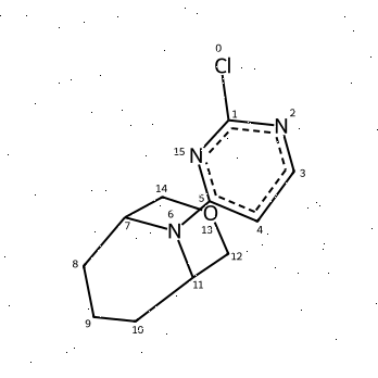 Clc1nccc(N2C3CCCC2COC3)n1